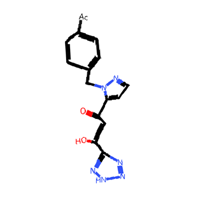 CC(=O)c1ccc(Cn2nccc2C(=O)C=C(O)c2nn[nH]n2)cc1